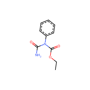 CCOC(=O)N(C(N)=O)c1ccccc1